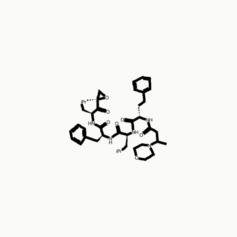 CC(C)C[C@H](NC(=O)[C@H](CCc1ccccc1)NC(=O)CC(C)N1CCOCC1)C(=O)N[C@@H](Cc1ccccc1)C(=O)N[C@@H](CC(C)C)C(=O)[C@@]1(C)CO1